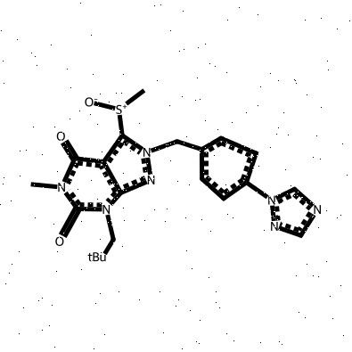 Cn1c(=O)c2c([S+](C)[O-])n(Cc3ccc(-n4cncn4)cc3)nc2n(CC(C)(C)C)c1=O